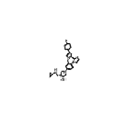 O[C@H]1CN(c2ccc3c(c2)Cn2cc(-c4ccc(F)cc4)cc2-c2nccn2-3)C[C@@H]1CNC1CC1